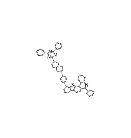 c1ccc(-c2nc(-c3ccccc3)nc(-c3ccc4cc(-c5ccc(-c6cccc7c6sc6c7ccc7c(-c8ccccc8)nc8ccccc8c76)cc5)ccc4c3)n2)cc1